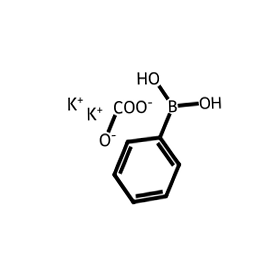 O=C([O-])[O-].OB(O)c1ccccc1.[K+].[K+]